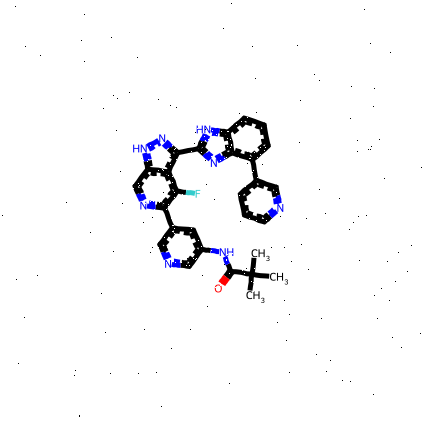 CC(C)(C)C(=O)Nc1cncc(-c2ncc3[nH]nc(-c4nc5c(-c6cccnc6)cccc5[nH]4)c3c2F)c1